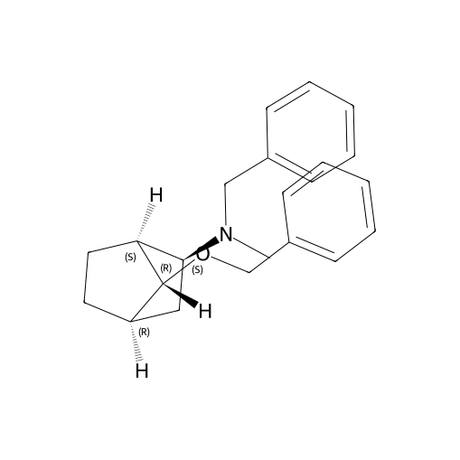 CN(Cc1ccccc1)[C@H]1C[C@H]2CC[C@@H]1[C@@H]2OCc1ccccc1